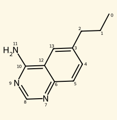 CCCc1ccc2ncnc(N)c2c1